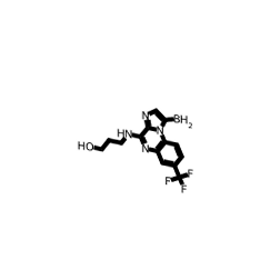 Bc1cnc2c(NCCCO)nc3cc(C(F)(F)F)ccc3n12